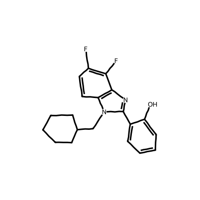 Oc1ccccc1-c1nc2c(F)c(F)ccc2n1CC1CCCCC1